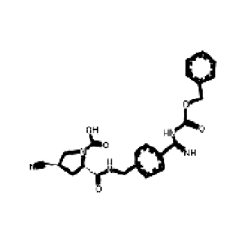 N#C[C@@H]1C[C@@H](C(=O)NCc2ccc(C(=N)NC(=O)OCc3ccccc3)cc2)N(C(=O)O)C1